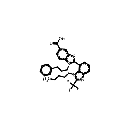 CCCCCn1c(C(F)(F)F)nc2cccc(-c3nc4cc(C(=O)O)ccc4n3CCCc3ccccc3)c21